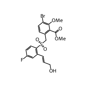 COC(=O)c1c(CS(=O)(=O)c2ccc(F)cc2C=CCO)ccc(Br)c1OC